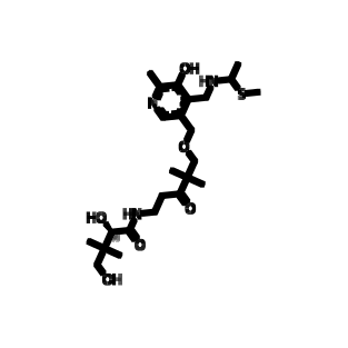 CSC(C)NCc1c(COCC(C)(C)C(=O)CCNC(=O)[C@H](O)C(C)(C)CO)cnc(C)c1O